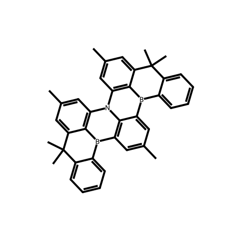 Cc1cc2c3c(c1)B1c4ccccc4C(C)(C)c4cc(C)cc(c41)N3c1cc(C)cc3c1B2c1ccccc1C3(C)C